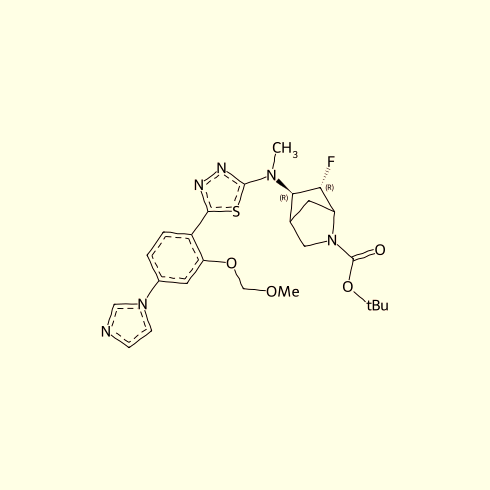 COCOc1cc(-n2ccnc2)ccc1-c1nnc(N(C)[C@@H]2C3CC([C@H]2F)N(C(=O)OC(C)(C)C)C3)s1